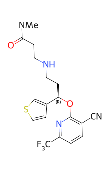 CNC(=O)CCNCC[C@@H](Oc1nc(C(F)(F)F)ccc1C#N)c1ccsc1